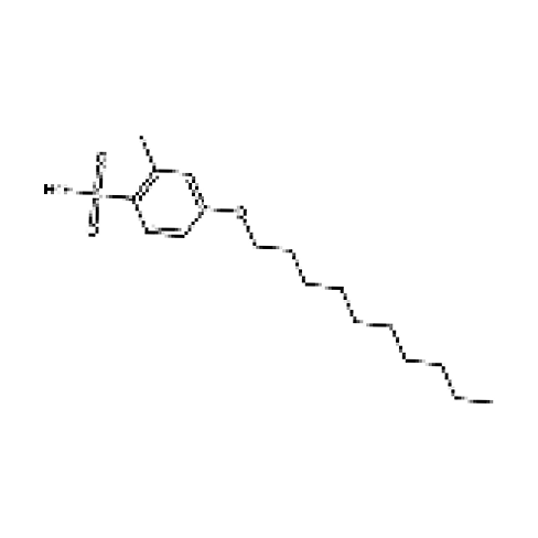 CCCCCCCCCCOc1ccc(S(=O)(=O)O)c(C)c1